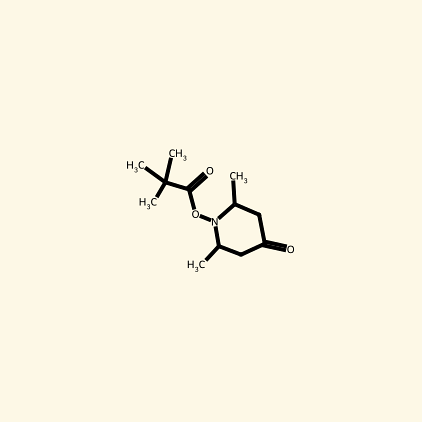 CC1CC(=O)CC(C)N1OC(=O)C(C)(C)C